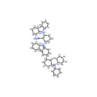 N#Cc1c(-n2c3ccccc3c3ccccc32)cccc1-n1c2ccccc2c2cc(-c3cccc(N(c4ccccc4)c4ccccc4)c3)ccc21